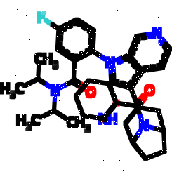 CC(C)N(C(=O)c1cc(F)ccc1-n1cc(C2CC3CCC(C2)N3C(=O)C2NC3CCC2CC3)c2ccncc21)C(C)C